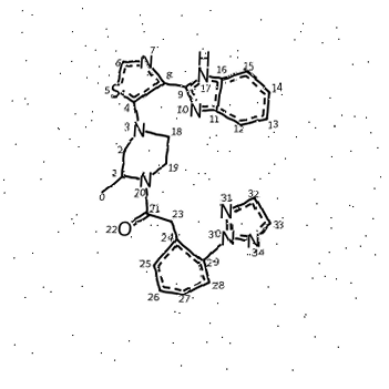 CC1CN(c2scnc2-c2nc3ccccc3[nH]2)CCN1C(=O)Cc1ccccc1-n1nccn1